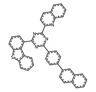 c1ccc2cc(-c3ccc(-c4nc(-c5ccc6ccccc6n5)nc(-c5cccc6sc7ccccc7c56)n4)cc3)ccc2c1